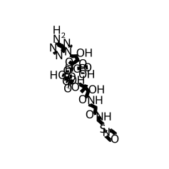 CC(C)(COP(=O)(O)OP(=O)(O)OC[C@H]1O[C@@H](n2cnc3c(N)ncnc32)[C@H](O)[C@@H]1OP(=O)(O)O)[C@@H](O)C(=O)NCCC(=O)NCCSN1CCOCC1